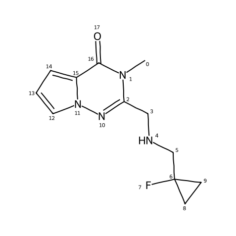 Cn1c(CNCC2(F)CC2)nn2cccc2c1=O